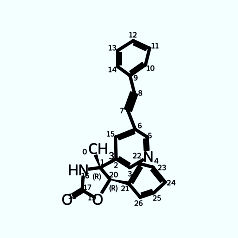 C[C@]1(c2cncc(C#Cc3ccccc3)c2)NC(=O)O[C@@H]1c1ccccc1